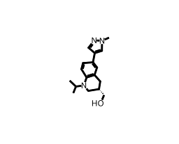 CC(C)N1C[C@@H](CO)Cc2cc(-c3cnn(C)c3)ccc21